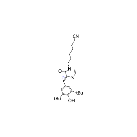 CC(C)(C)c1cc(/C=C2\SC=CN(CCCCCCC#N)C2=O)cc(C(C)(C)C)c1O